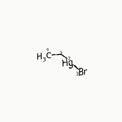 C[CH2][Hg][Br]